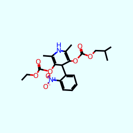 CCOC(=O)OC1=C(C)NC(C)=C(OC(=O)OCC(C)C)C1c1ccccc1[N+](=O)[O-]